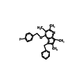 Cc1nc2c(C)c(C)n(Cc3ccccc3)c2c(OCc2ccc(F)cc2)c1C